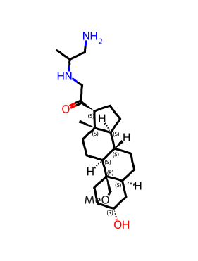 COC[C@]12CC[C@@H](O)C[C@@H]1CC[C@H]1[C@@H]3CC[C@H](C(=O)CNC(C)CN)[C@@]3(C)CC[C@@H]12